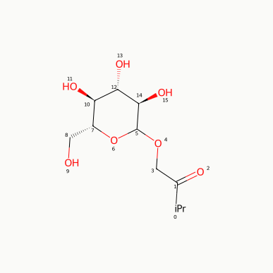 CC(C)C(=O)COC1O[C@H](CO)[C@@H](O)[C@H](O)[C@H]1O